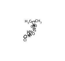 C[C@@H]1C[C@H](C)CN(S(=O)(=O)c2csc(C(=O)Nc3nnc(-c4cccc(Cl)c4)o3)c2)C1